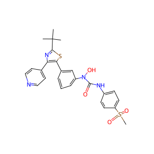 CC(C)(C)c1nc(-c2ccncc2)c(-c2cccc(N(O)C(=O)Nc3ccc(S(C)(=O)=O)cc3)c2)s1